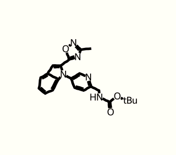 Cc1noc(-c2cc3ccccc3n2-c2ccc(CNC(=O)OC(C)(C)C)nc2)n1